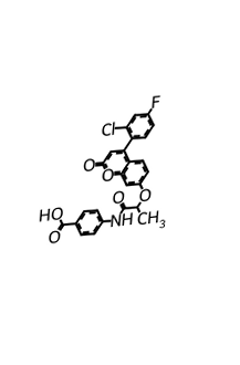 CC(Oc1ccc2c(-c3ccc(F)cc3Cl)cc(=O)oc2c1)C(=O)Nc1ccc(C(=O)O)cc1